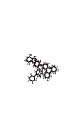 c1ccc(-c2cc(-c3ccccc3)nc(-c3cccc4c5ccccc5c5ccc(-c6ccc7c(c6)sc6ccccc67)cc5c34)n2)cc1